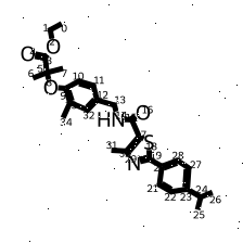 CCOC(=O)C(C)(C)Oc1ccc(CNC(=O)c2sc(-c3ccc(C(C)C)cc3)nc2C)cc1C